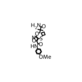 COc1ccc(NC(=O)c2onc(OCC(C)(C)C(N)=O)c2SC2CCC2)cc1